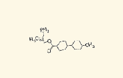 CC1CCC(C2CCC(C(=O)OC[C@H](C)CP)CC2)CC1